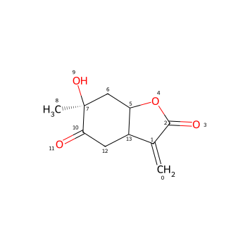 C=C1C(=O)OC2C[C@](C)(O)C(=O)CC12